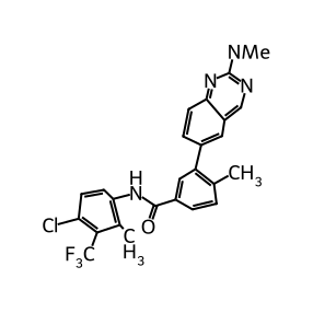 CNc1ncc2cc(-c3cc(C(=O)Nc4ccc(Cl)c(C(F)(F)F)c4C)ccc3C)ccc2n1